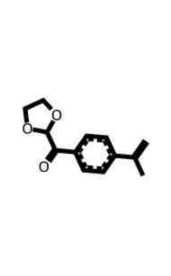 C=C(C)c1ccc(C(=O)C2OCCO2)cc1